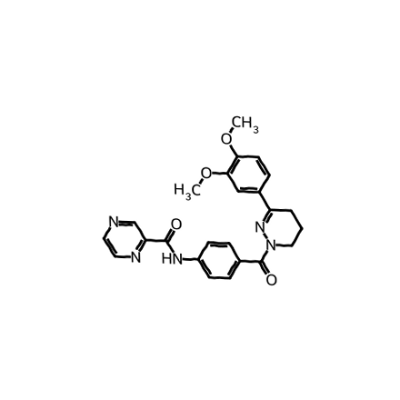 COc1ccc(C2=NN(C(=O)c3ccc(NC(=O)c4cnccn4)cc3)CCC2)cc1OC